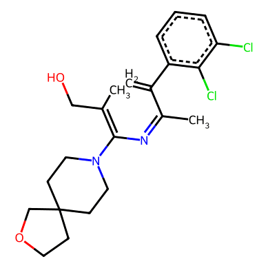 C=C(/C(C)=N\C(=C(/C)CO)N1CCC2(CCOC2)CC1)c1cccc(Cl)c1Cl